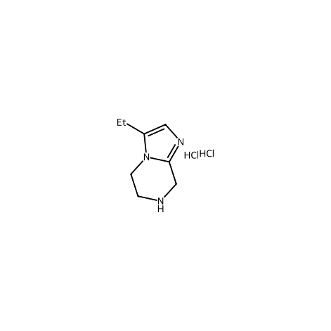 CCc1cnc2n1CCNC2.Cl.Cl